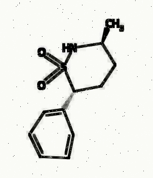 C[C@H]1CC[C@H](c2ccccc2)S(=O)(=O)N1